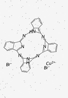 [Br-].[Br-].[Cu+2].c1ccc2c(c1)-c1nc-2nc2[nH]c(nc3nc(nc4[nH]c(n1)c1ccccc41)-c1ccccc1-3)c1ccccc21